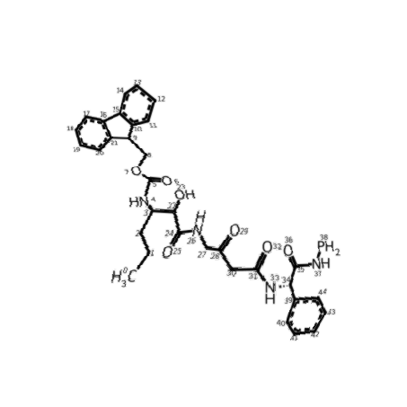 CCCC(NC(=O)OCC1c2ccccc2-c2ccccc21)C(O)C(=O)NCC(=O)CC(=O)N[C@H](C(=O)NP)c1ccccc1